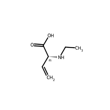 C=C[C@@H](NCC)C(=O)O